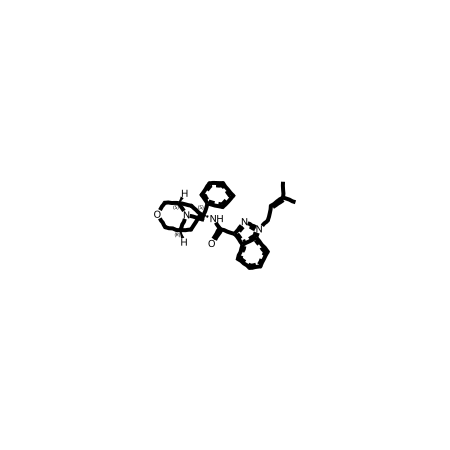 CC(C)=CCn1nc(C(=O)N[C@H]2C[C@H]3COC[C@@H](C2)N3Cc2ccccc2)c2ccccc21